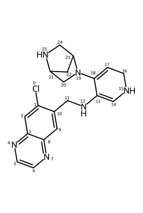 Clc1cc2nccnc2cc1CNC1=CNCC=C1N1CC2CC1CN2